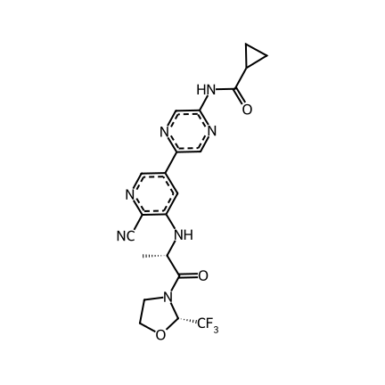 C[C@H](Nc1cc(-c2cnc(NC(=O)C3CC3)cn2)cnc1C#N)C(=O)N1CCO[C@H]1C(F)(F)F